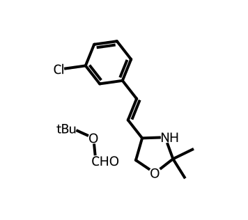 CC(C)(C)OC=O.CC1(C)NC(/C=C/c2cccc(Cl)c2)CO1